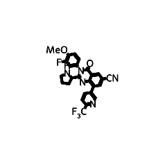 COc1ccc(-n2c(C3CCCN3)nc3c(-c4ccc(C(F)(F)F)nc4)cc(C#N)cc3c2=O)cc1F